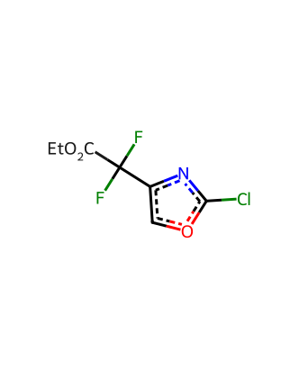 CCOC(=O)C(F)(F)c1coc(Cl)n1